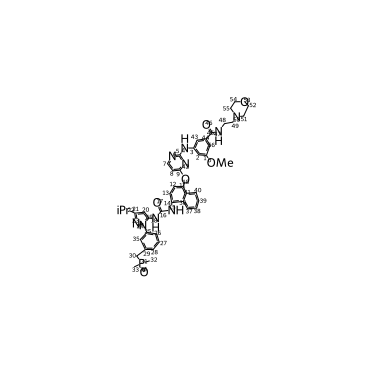 COc1cc(Nc2nccc(Oc3ccc(NC(=O)Nc4cc(C(C)C)nn4-c4cccc(CP(C)(C)=O)c4)c4ccccc34)n2)cc(C(=O)NCCN2CCOCC2)c1